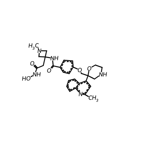 Cc1cc(C2(COc3ccc(C(=O)NC4(CC(=O)NO)CN(C)C4)cc3)CNCCO2)c2ccccc2n1